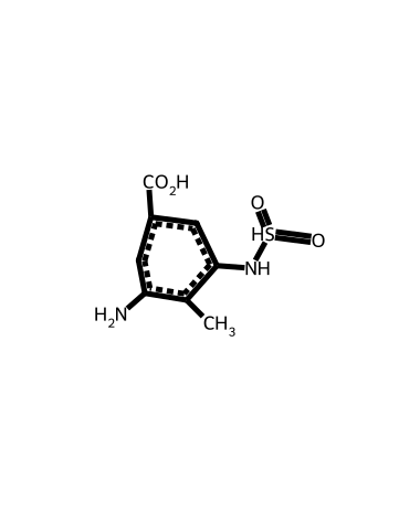 Cc1c(N)cc(C(=O)O)cc1N[SH](=O)=O